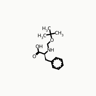 CC(C)(C)OCN[C@@H](Cc1ccccc1)C(=O)O